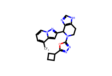 FC(F)(F)c1cccn2nc(C3c4nc[nH]c4CCN3c3nnc(C4CCC4)o3)cc12